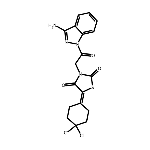 Nc1nn(C(=O)CN2C(=O)SC(=C3CCC(Cl)(Cl)CC3)C2=O)c2ccccc12